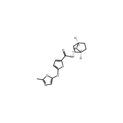 Cc1ncc(Oc2ccc(C(=O)N[C@@H]3C[C@H]4CC[C@@H]3N4)s2)o1